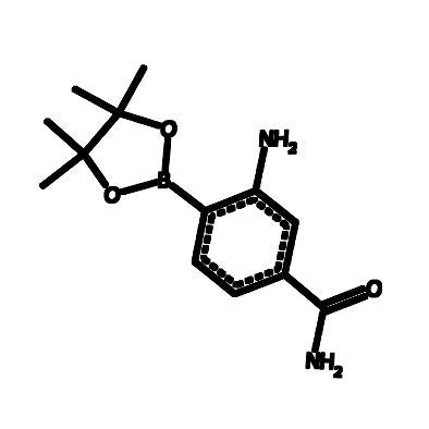 CC1(C)OB(c2ccc(C(N)=O)cc2N)OC1(C)C